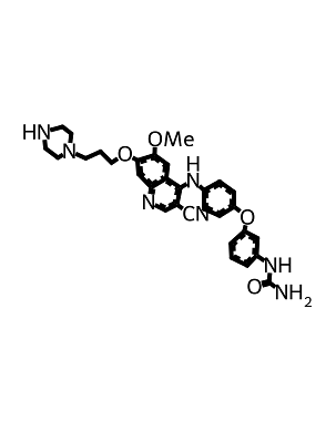 COc1cc2c(Nc3ccc(Oc4cccc(NC(N)=O)c4)cc3)c(C#N)cnc2cc1OCCCN1CCNCC1